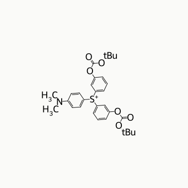 CN(C)c1ccc([S+](c2cccc(OC(=O)OC(C)(C)C)c2)c2cccc(OC(=O)OC(C)(C)C)c2)cc1